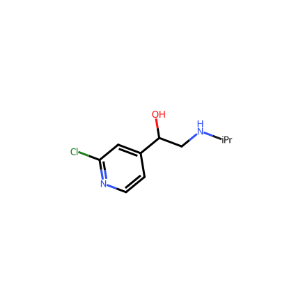 CC(C)NCC(O)c1ccnc(Cl)c1